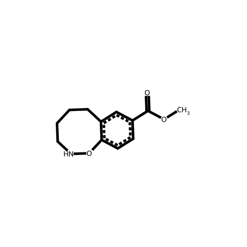 COC(=O)c1ccc2c(c1)CCCCNO2